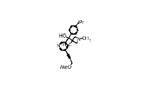 COCC#Cc1cncc(C(O)(c2ccc(C(C)C)cc2)C2(C)CN(C)C2)c1